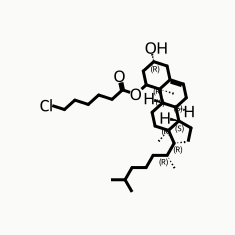 CC(C)CCC[C@@H](C)[C@H]1CC[C@H]2[C@@H]3CC=C4C[C@@H](O)CC(OC(=O)CCCCCCl)[C@]4(C)[C@H]3CC[C@]12C